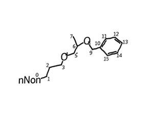 CCCCCCCCCCCCO[CH]C(C)OCc1ccccc1